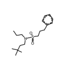 CCCN(CCC(C)(C)C)S(=O)(=O)CCCc1ccccc1